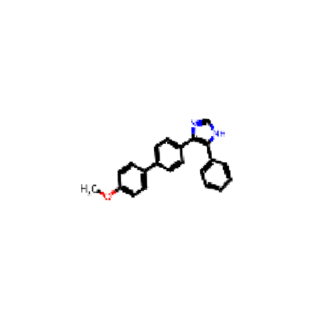 COc1ccc(-c2ccc(-c3nc[nH]c3-c3ccccc3)cc2)cc1